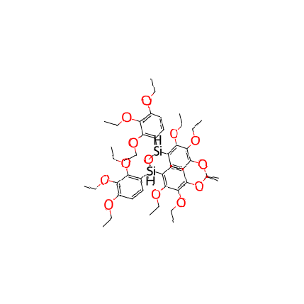 CCOc1ccc([SiH](O[SiH](c2ccc(OCC)c(OCC)c2OCC)c2ccc(OCC)c(OCC)c2OCC)c2ccc(OCC)c(OCC)c2OCC)c(OCC)c1OCC